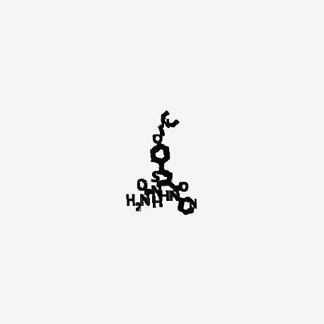 CCN(CC)CCOc1ccc(-c2cc(C(=O)Nc3cccnc3)c(NC(N)=O)s2)cc1